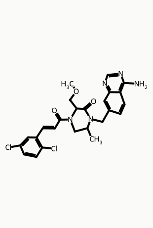 COCC1C(=O)N(Cc2ccc3c(N)ncnc3c2)C(C)CN1C(=O)C=Cc1cc(Cl)ccc1Cl